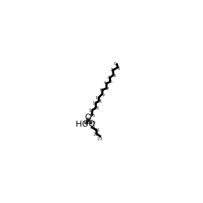 CCCCCCCCCCCCCCCCOP(O)OCCCC